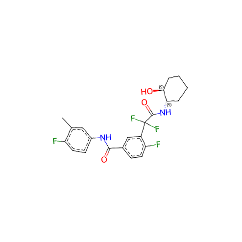 Cc1cc(NC(=O)c2ccc(F)c(C(F)(F)C(=O)N[C@H]3CCCC[C@@H]3O)c2)ccc1F